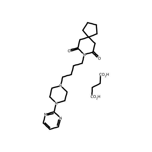 O=C(O)CCC(=O)O.O=C1CC2(CCCC2)CC(=O)N1CCCCN1CCN(c2ncccn2)CC1